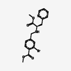 COC(=O)c1ccc(CN[C@H](Cc2ccccn2)C(=O)OC)cc1Br